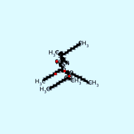 [C-]#[N+]c1cc(-c2sc(-c3cc(OCCCCCCCCCCCC)c(-c4sc(C)cc4OCCCCCCCCCCCC)s3)cc2CCCCCCCCCCCC)sc1-c1sc(-c2sc(C)cc2CCCCCCCCCCCC)cc1C#N